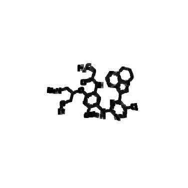 C=CC(=O)Nc1cc(Nc2ncc(Cl)c(-c3cn4c5c(cccc35)CCC4)n2)c(OC)cc1OC(CNC)COCC